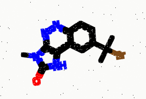 Cn1c(=O)[nH]c2c3cc(C(C)(C)Br)ccc3nnc21